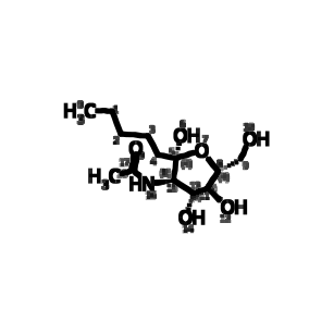 CCCCC[C@@]1(O)O[C@H](CO)[C@@H](O)[C@H](O)[C@H]1NC(C)=O